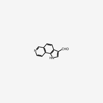 O=Cc1c[nH]c2c1ccc1cnccc12